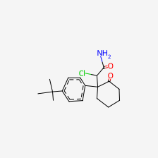 CC(C)(C)c1ccc(C2(C(Cl)C(N)=O)CCCCC2=O)cc1